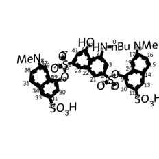 CCCCNc1cc(S(=O)(=O)Oc2cc(S(=O)(=O)O)cc3ccc(NC)cc23)cc2cc(S(=O)(=O)Oc3cc(S(=O)(=O)O)cc4ccc(NC)cc34)cc(O)c12